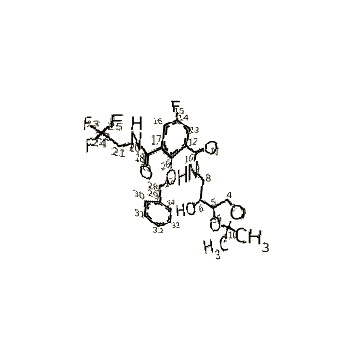 CC1(C)OCC(C(O)CNC(=O)c2cc(F)cc(C(=O)NCC(F)(F)F)c2OCc2ccccc2)O1